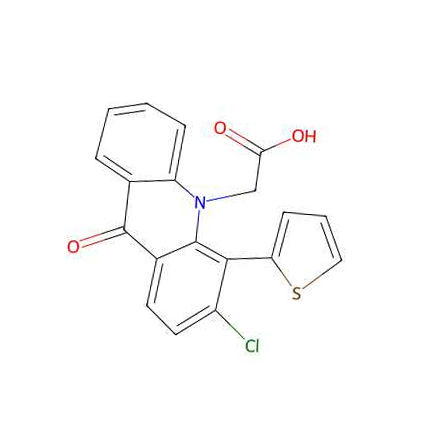 O=C(O)Cn1c2ccccc2c(=O)c2ccc(Cl)c(-c3cccs3)c21